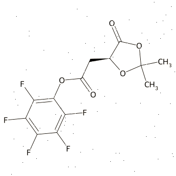 CC1(C)OC(=O)[C@H](CC(=O)Oc2c(F)c(F)c(F)c(F)c2F)O1